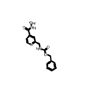 O=C(NCc1cc(C(=O)NO)ccn1)OCc1ccccc1